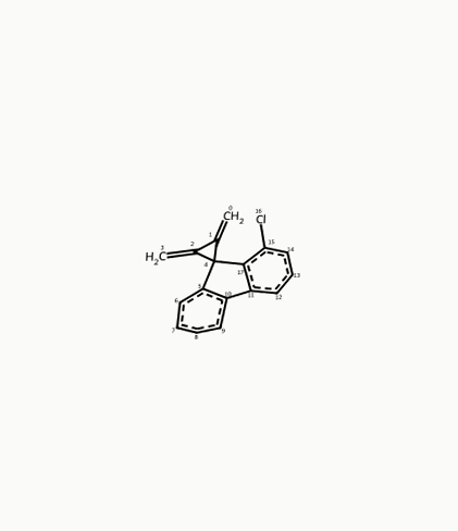 C=C1C(=C)C12c1ccccc1-c1cccc(Cl)c12